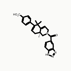 CC1(C)C(c2ccc(C(=O)O)cc2)=CC[C@]2(C)CN(C(=O)c3ccc4[nH]nnc4c3)CC=C12